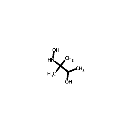 CC(O)C(C)(C)NO